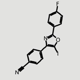 N#Cc1ccc(-c2nc(-c3ccc(F)cc3)oc2I)cc1